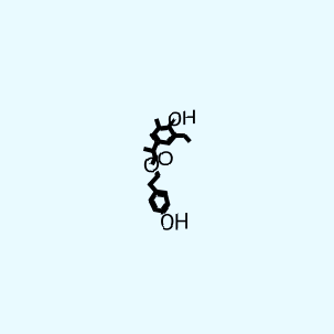 CCc1cc(C(C)C(=O)OCCc2ccc(O)cc2)cc(C)c1O